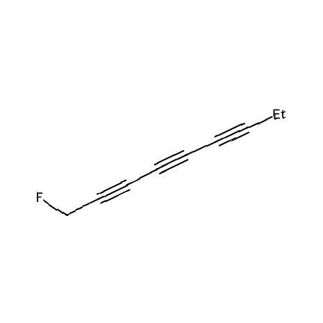 CCC#CC#CC#CCF